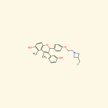 CC1=C(c2cccc(O)c2)C(c2ccc(OCCN3CC(CF)C3)cc2)Oc2ccc(O)c(C)c21